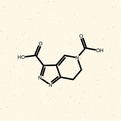 O=C(O)C1=NN=C2CCN(C(=O)O)C=C21